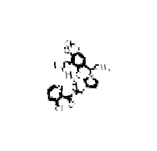 COc1ccc([C@@H](C)N2CC[C@H](CNC(=O)c3ncccc3Cl)C2)c(C)c1C